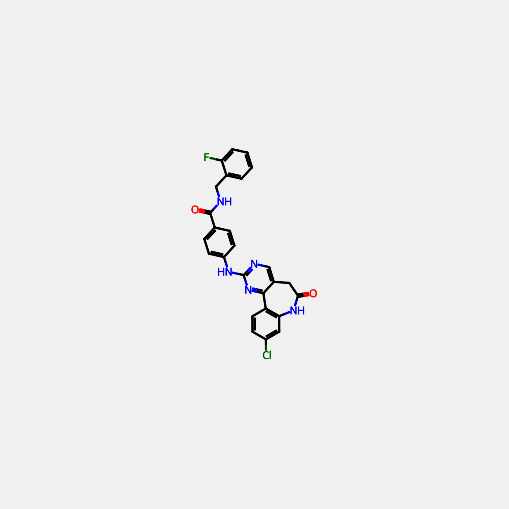 O=C1Cc2cnc(Nc3ccc(C(=O)NCc4ccccc4F)cc3)nc2-c2ccc(Cl)cc2N1